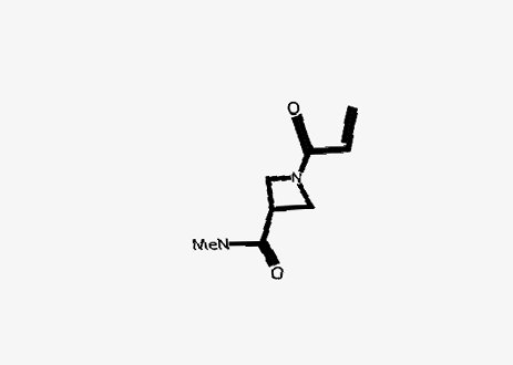 C=CC(=O)N1CC(C(=O)NC)C1